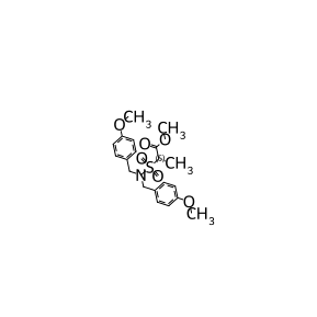 COC(=O)[C@H](C)S(=O)(=O)N(Cc1ccc(OC)cc1)Cc1ccc(OC)cc1